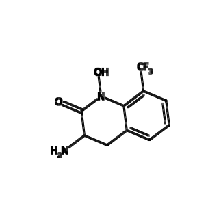 NC1Cc2cccc(C(F)(F)F)c2N(O)C1=O